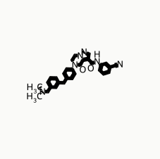 CN(C)Cc1cccc(Cc2ccc(N3CCn4ncc(C(=O)Nc5cccc(C#N)c5)c4C3=O)cc2)c1